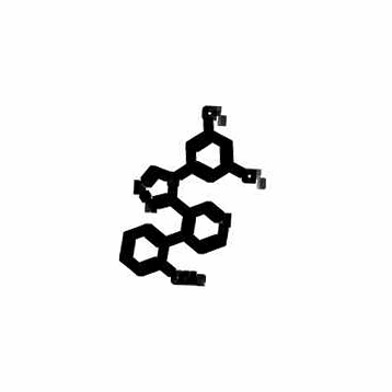 COc1ccccc1-c1ccncc1-c1nncn1-c1cc(C(F)(F)F)cc(C(F)(F)F)c1